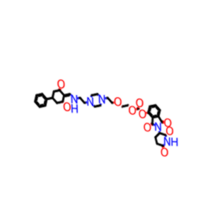 O=C1CCC(N2C(=O)c3cccc(OC(=O)OCCOCCN4CCN(CCNC=C5C(=O)CC(c6ccccc6)CC5=O)CC4)c3C2=O)C(=O)N1